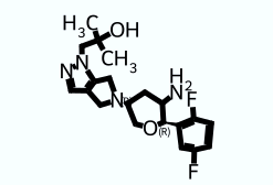 CC(C)(O)Cn1ncc2c1CN([C@H]1CO[C@H](c3cc(F)ccc3F)C(N)C1)C2